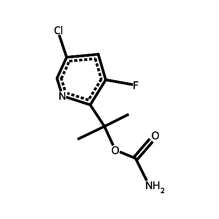 CC(C)(OC(N)=O)c1ncc(Cl)cc1F